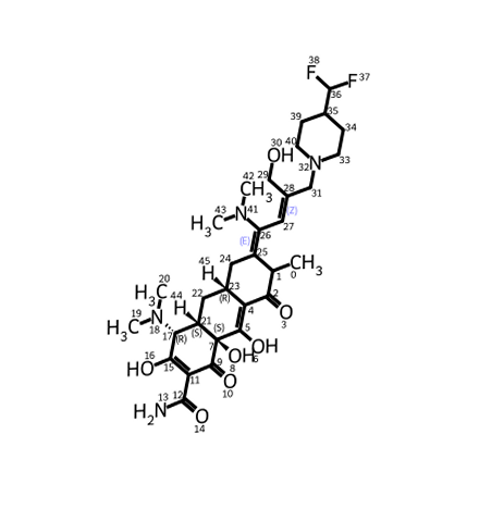 CC1C(=O)C2=C(O)[C@]3(O)C(=O)C(C(N)=O)=C(O)[C@H](N(C)C)[C@@H]3C[C@@H]2C/C1=C(/C=C(\CO)CN1CCC(C(F)F)CC1)N(C)C